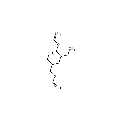 C=COCC(CC)CC(CC)COC=C